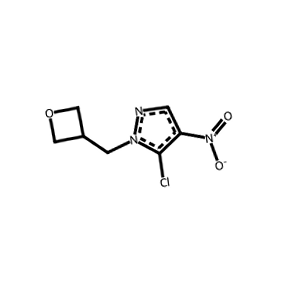 O=[N+]([O-])c1cnn(CC2COC2)c1Cl